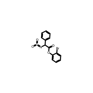 O=C(Oc1ccccc1Br)C(N=S(=O)=O)c1ccccc1